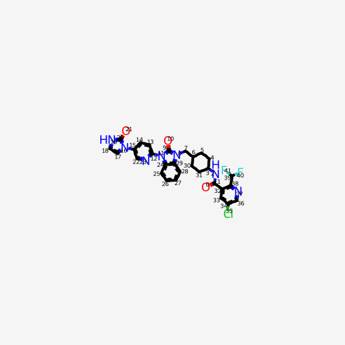 O=C(NC1CCC(Cn2c(=O)n(-c3ccc(-n4cc[nH]c4=O)cn3)c3ccccc32)CC1)c1cc(Cl)cnc1C(F)F